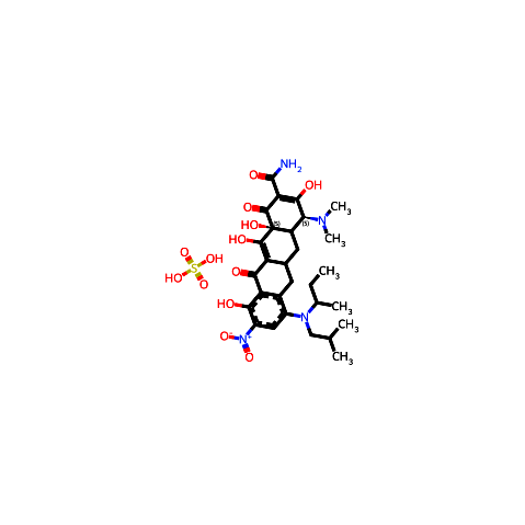 CCC(C)N(CC(C)C)c1cc([N+](=O)[O-])c(O)c2c1CC1CC3[C@H](N(C)C)C(O)=C(C(N)=O)C(=O)[C@@]3(O)C(O)=C1C2=O.O=S(=O)(O)O